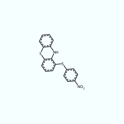 O=[N+]([O-])c1ccc(Sc2cccc3c2Nc2ccccc2S3)cc1